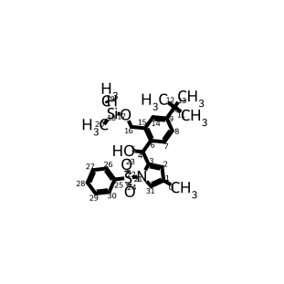 Cc1cc(C(O)c2ccc(C(C)(C)C)cc2CO[SiH](C)C)n(S(=O)(=O)c2ccccc2)c1